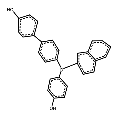 Oc1ccc(-c2ccc(N(c3ccc(O)cc3)c3ccc4ccccc4c3)cc2)cc1